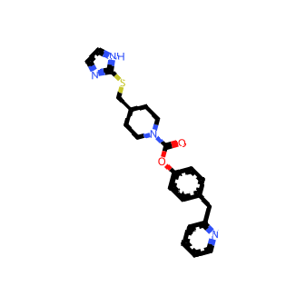 O=C(Oc1ccc(Cc2ccccn2)cc1)N1CCC(CSc2ncc[nH]2)CC1